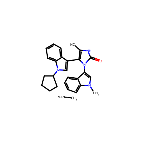 CNC.Cn1cc(-n2c(-c3cn(C4CCCC4)c4ccccc34)c(C#N)[nH]c2=O)c2ccccc21